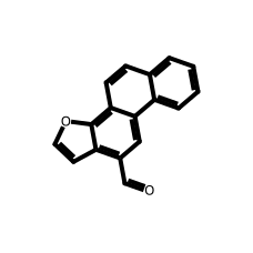 O=Cc1cc2c3ccccc3ccc2c2occc12